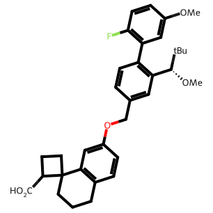 COc1ccc(F)c(-c2ccc(COc3ccc4c(c3)C3(CCC4)CCC3C(=O)O)cc2[C@@H](OC)C(C)(C)C)c1